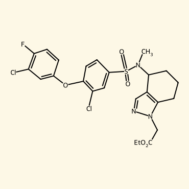 CCOC(=O)Cn1ncc2c1CCCC2N(C)S(=O)(=O)c1ccc(Oc2ccc(F)c(Cl)c2)c(Cl)c1